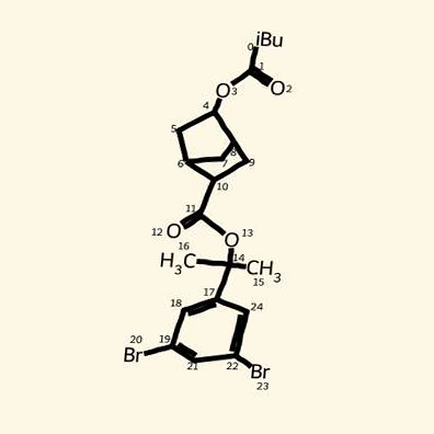 CCC(C)C(=O)OC1CC2CC1CC2C(=O)OC(C)(C)c1cc(Br)cc(Br)c1